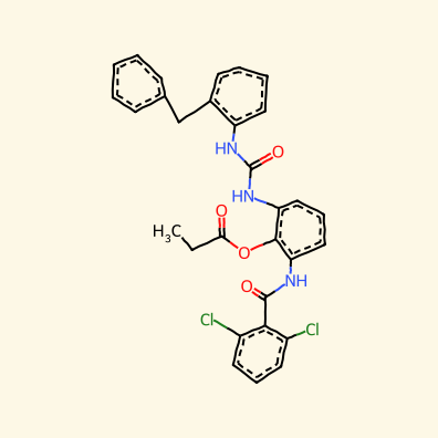 CCC(=O)Oc1c(NC(=O)Nc2ccccc2Cc2ccccc2)cccc1NC(=O)c1c(Cl)cccc1Cl